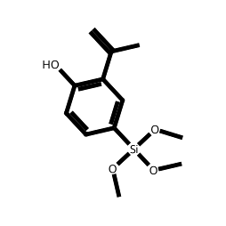 C=C(C)c1cc([Si](OC)(OC)OC)ccc1O